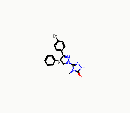 CCc1ccc(C2=NN(c3n[nH]c(=O)n3C)C[C@H]2c2ccccc2)cc1